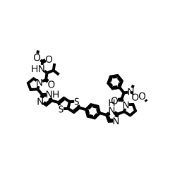 COON(C)C(C(=O)N1CCCC1c1ncc(-c2ccc(C3=CC4SC(c5cnc(C6CCCN6C(=O)C(NC(=O)OC)C(C)C)[nH]5)=CC4S3)cc2)[nH]1)c1ccccc1